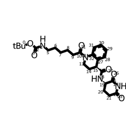 CC(C)(C)OC(=O)NCCCCCC(=O)N1CC[C@H](C(=O)N[C@H]2CCC(=O)NC2=O)c2ccccc21